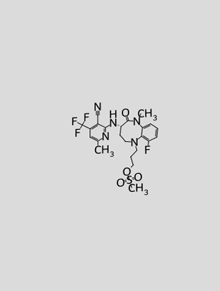 Cc1cc(C(F)(F)F)c(C#N)c(N[C@H]2CCN(CCCOS(C)(=O)=O)c3c(F)cccc3N(C)C2=O)n1